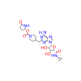 Nc1nc(CC2CCN(C(=O)OC3CCC(=O)N3)CC2)nc2c1ncn2[C@@H]1O[C@H](C(=O)NC2CC2)C(O)C1O